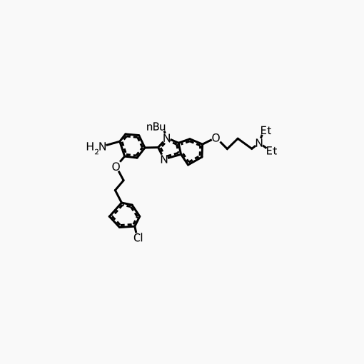 CCCCn1c(-c2ccc(N)c(OCCc3ccc(Cl)cc3)c2)nc2ccc(OCCCN(CC)CC)cc21